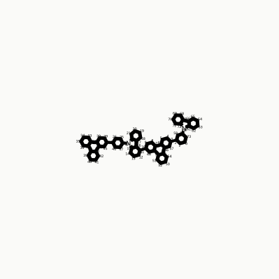 c1cc(-c2ccc3c4ccc(-c5cccc6c5c5ccccc5n6-c5ccc(-c6ccc7c8ccccc8c8ccccc8c7c6)cc5)cc4c4ccccc4c3c2)cc(-n2c3ccccc3c3ccccc32)c1